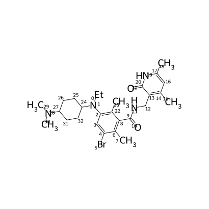 CCN(c1cc(Br)c(C)c(C(=O)NCc2c(C)cc(C)[nH]c2=O)c1C)C1CCC(N(C)C)CC1